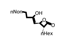 CCCCCCCCCCC/C(O)=C/[C@H]1OC(=O)[C@@H]1CCCCCC